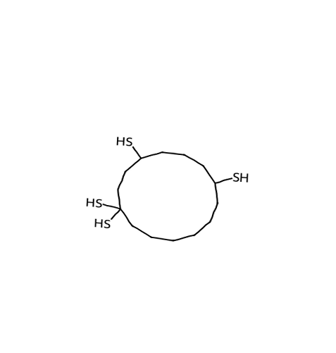 SC1CCCCCCC(S)(S)CCC(S)CCC1